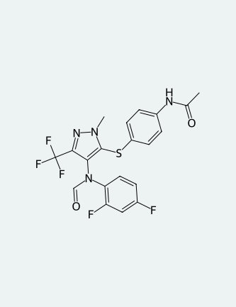 CC(=O)Nc1ccc(Sc2c(N(C=O)c3ccc(F)cc3F)c(C(F)(F)F)nn2C)cc1